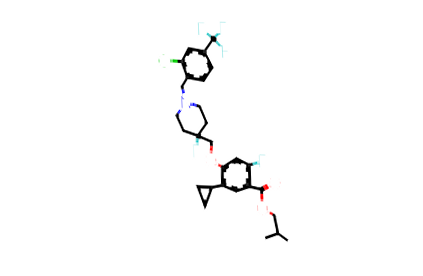 CC(C)COC(=O)c1cc(C2CC2)c(OCC2(F)CCN(Cc3ccc(C(F)(F)F)cc3Cl)CC2)cc1F